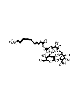 CCCCCCCCCCCCCCCCCC[C@H](C)C(=O)C[C@@H]1C[C@@H]1C[C@@H](O)[C@@H](CC)C(=O)OCC1OC(OC2OC(CO)C(O)C(O)C2O)C(O)C(O)C1O